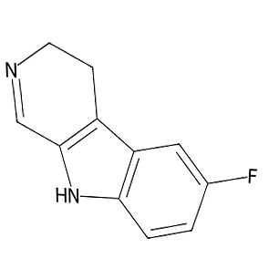 Fc1ccc2[nH]c3c(c2c1)CCN=C3